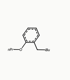 CCCOc1ccccc1CC(C)CC